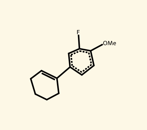 COc1ccc(C2=CCCCC2)cc1F